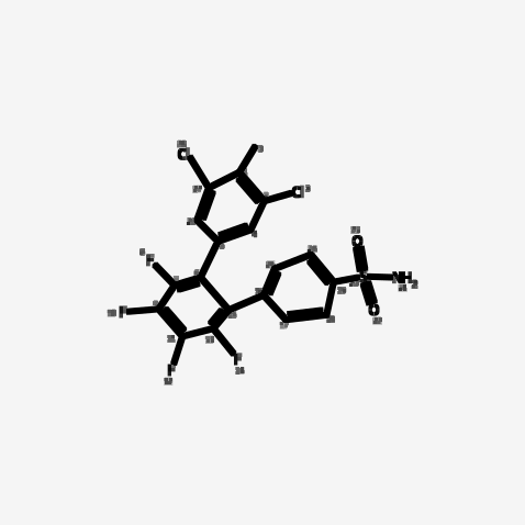 Cc1c(Cl)cc(-c2c(F)c(F)c(F)c(F)c2-c2ccc(S(N)(=O)=O)cc2)cc1Cl